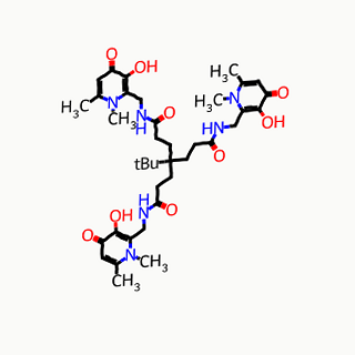 Cc1cc(=O)c(O)c(CNC(=O)CCC(CCC(=O)NCc2c(O)c(=O)cc(C)n2C)(CCC(=O)NCc2c(O)c(=O)cc(C)n2C)C(C)(C)C)n1C